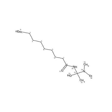 CCCCCCCCCCCCCCCCCC(=O)NC(C)(O)N(C)CC